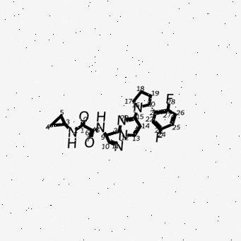 O=C(NC1CC1)C(=O)NC1C=NN2C=CC(N3CCC[C@@H]3c3cc(F)ccc3F)=NC12